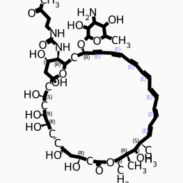 CC(=O)CCNC(=O)N[C@H]1C2C[C@@H](OC3OC(C)C(O)C(N)C3O)/C=C/C=C/C=C/C=C/C=C/C=C/C=C/[C@H](C)[C@@H](O)[C@@H](C)[C@H](C)OC(=O)C[C@H](O)C[C@H](O)CC[C@@H](O)[C@H](O)C[C@H](O)C[C@](O)(C[C@@H]1O)O2